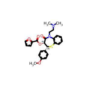 COc1ccc([C@H]2Sc3ccccc3N(CCN(C)C)C(=O)[C@H]2OC(=O)c2ccco2)cc1